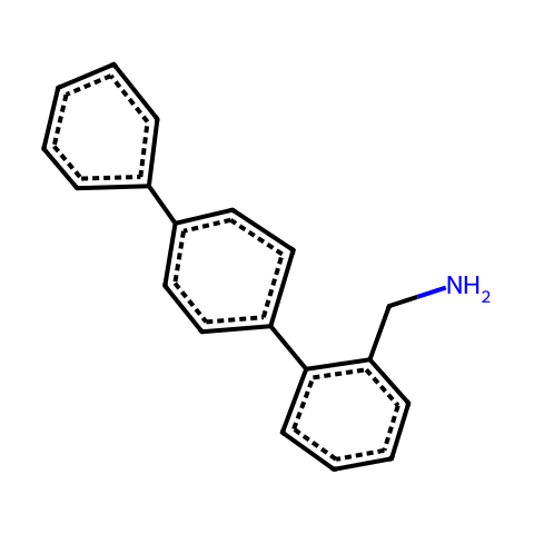 NCc1ccccc1-c1ccc(-c2ccccc2)cc1